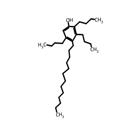 CCCCCCCCCCCCCc1c(CCCC)cc(O)c(CCCC)c1CCCC